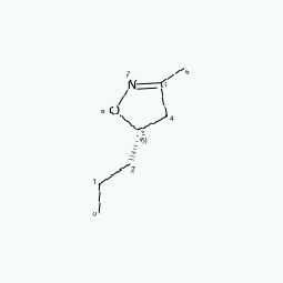 CCC[C@H]1CC(C)=NO1